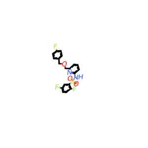 O=S(=O)(Nc1cccc(COCc2ccc(F)cc2)n1)c1cc(F)ccc1F